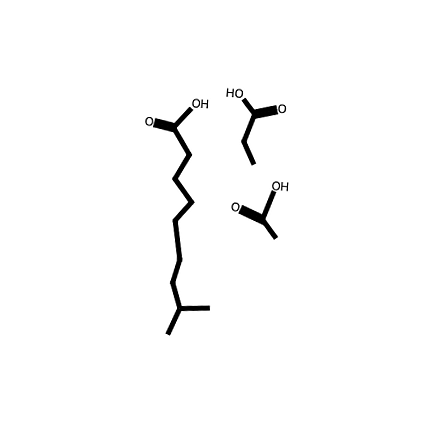 CC(=O)O.CC(C)CCCCCCC(=O)O.CCC(=O)O